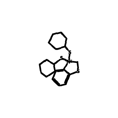 c1ccc2c(c1)SC[N+]2(SC1CCCCC1)SC1CCCCC1